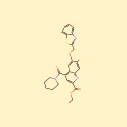 CCOC(=O)c1cc(C(=O)N2CCCCC2)c2cc(OCc3nc4ccccc4s3)c(F)cc2n1